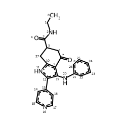 CCNC(=O)C1CC(=O)c2c([nH]c(-c3ccncc3)c2Nc2ccccc2)C1